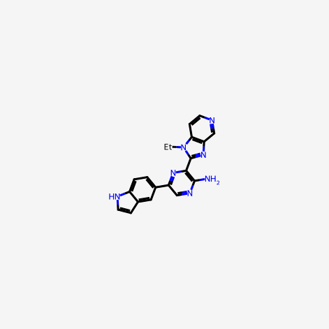 CCn1c(-c2nc(-c3ccc4[nH]ccc4c3)cnc2N)nc2cnccc21